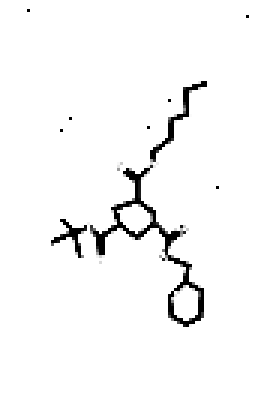 CCCCCCOC(=O)C1CC(C(=O)OCC2CCCCC2)CC(C(=O)OC(C)(C)C)C1